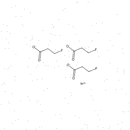 O=C([O-])CCF.O=C([O-])CCF.O=C([O-])CCF.[In+3]